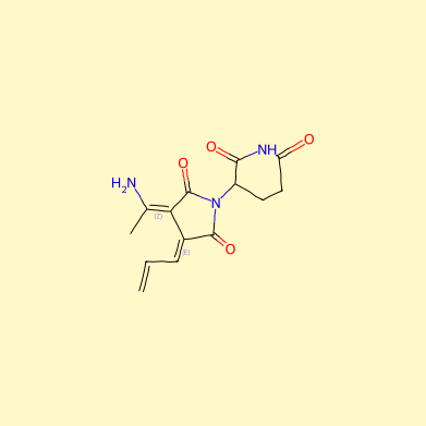 C=C/C=C1/C(=O)N(C2CCC(=O)NC2=O)C(=O)/C1=C(/C)N